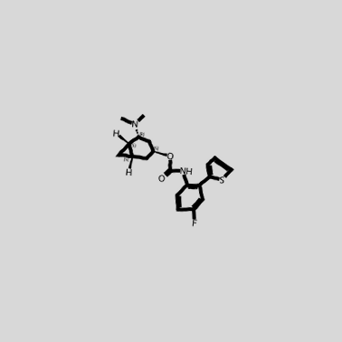 CN(C)[C@@H]1C[C@@H](OC(=O)Nc2ccc(F)cc2-c2cccs2)C[C@@H]2C[C@@H]21